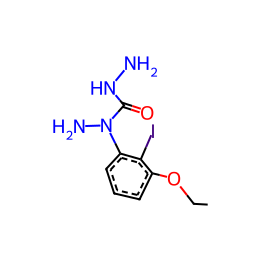 CCOc1cccc(N(N)C(=O)NN)c1I